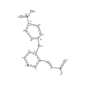 CC(=O)/C=C/c1cnccc1Oc1ccc([N+](=O)[O-])cc1